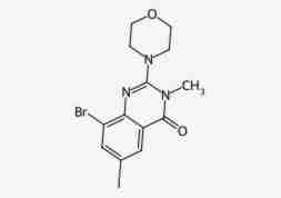 Cn1c(N2CCOCC2)nc2c(Br)cc(I)cc2c1=O